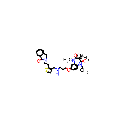 CCN1C(=O)C(C)(C)C(=O)N(C)c2cc(OCCCNCc3ccsc3CCn3ccc4ccccc4c3=O)ccc21